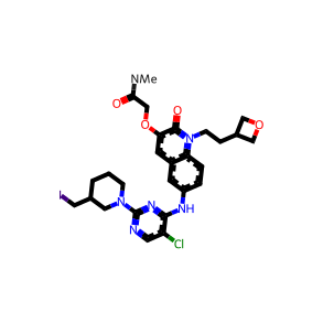 CNC(=O)COc1cc2cc(Nc3nc(N4CCCC(CI)C4)ncc3Cl)ccc2n(CCC2COC2)c1=O